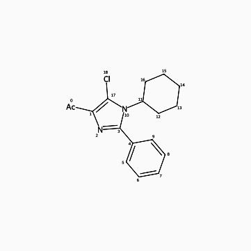 CC(=O)c1nc(-c2ccccc2)n(C2CCCCC2)c1Cl